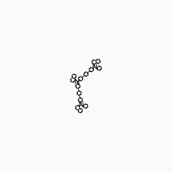 c1ccc(N(c2ccc(-c3ccc(-c4ccc(N(c5ccc(-c6ccc(-c7ccc(N(c8ccccc8)c8cccc9ccccc89)cc7)cc6)cc5)c5cccc6ccccc56)cc4)cc3)cc2)c2cccc3ccccc23)cc1